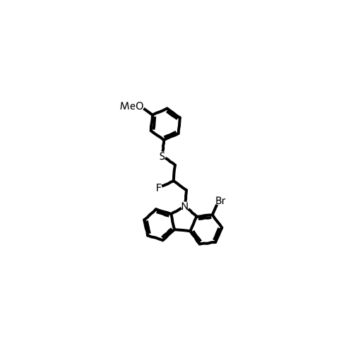 COc1cccc(SCC(F)Cn2c3ccccc3c3cccc(Br)c32)c1